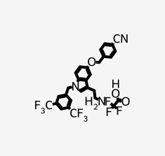 N#Cc1ccc(COc2ccc3c(c2)c(CCN)cn3Cc2cc(C(F)(F)F)cc(C(F)(F)F)c2)cc1.O=C(O)C(F)(F)F